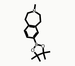 CN1CCc2ccc(B3OC(C)(C)C(C)(C)O3)cc2CC1